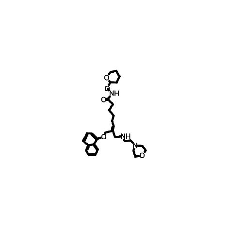 O=C(CCCC/C=C(/CNCCN1CCOCC1)COc1cccc2ccccc12)NOC1CCCCO1